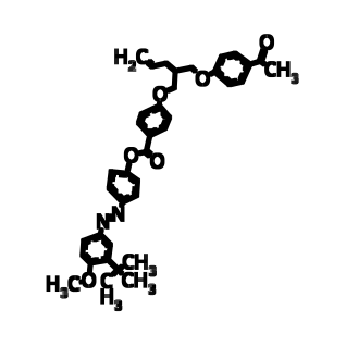 C=CCC(COc1ccc(C(C)=O)cc1)COc1ccc(C(=O)Oc2ccc(N=Nc3ccc(OC)c(C(C)(C)C)c3)cc2)cc1